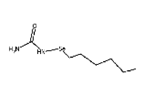 CCCCCC[Se]NC(N)=O